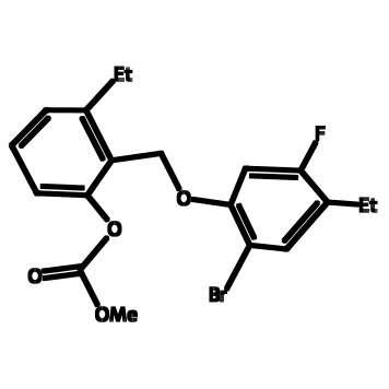 CCc1cc(Br)c(OCc2c(CC)cccc2OC(=O)OC)cc1F